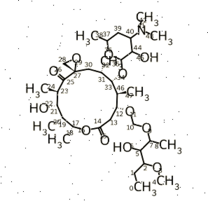 CCC(OC)C(O)C(C)OCO[C@@H]1CC(=O)O[C@H](C)[C@H](C)[C@H](O)[C@@H](C)C(=O)[C@@]2(CO2)C[C@H](C)[C@H](OC2OC(C)CC(N(C)C)C2O)[C@H]1C